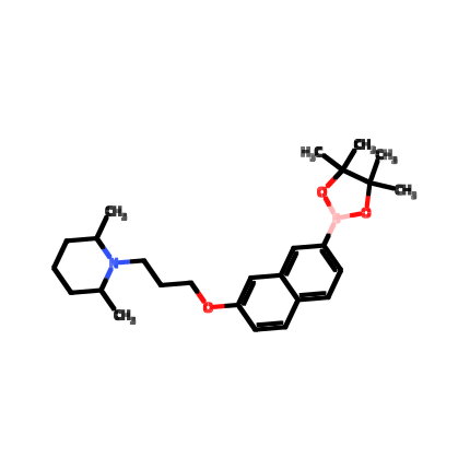 CC1CCCC(C)N1CCCOc1ccc2ccc(B3OC(C)(C)C(C)(C)O3)cc2c1